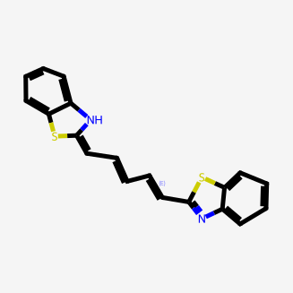 C(=C/C=C/c1nc2ccccc2s1)C=C1Nc2ccccc2S1